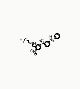 CCCNCc1cc([S+]([O-])c2cccc(NSc3ccccc3)c2)ccc1[N+](=O)[O-]